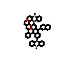 CN1c2ccccc2N(c2ccc3c(-c4ccccc4-c4ccc5ccccc5c4)c4cc(N5c6ccccc6N(C)c6ccccc65)ccc4c(-c4ccc5ccccc5c4)c3c2)c2ccccc21